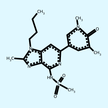 CCCCn1c(C)nc2c(NS(C)(=O)=O)nc(-c3cc(C)c(=O)n(C)c3)cc21